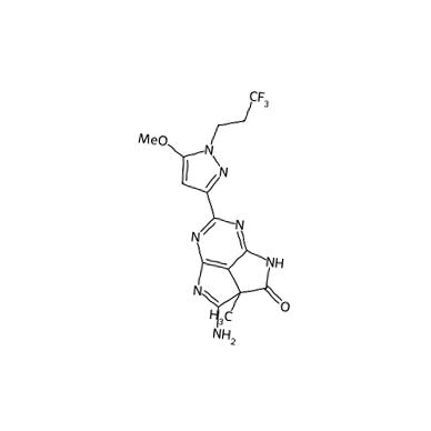 COc1cc(-c2nc3c4c(n2)NC(=O)C4(C)C(N)=N3)nn1CCC(F)(F)F